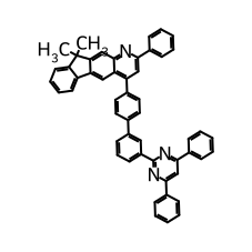 CC1(C)c2ccccc2-c2cc3c(-c4ccc(-c5cccc(-c6nc(-c7ccccc7)cc(-c7ccccc7)n6)c5)cc4)cc(-c4ccccc4)nc3cc21